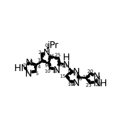 CC(C)n1cc(-c2cn[nH]n2)c2cnc(Nc3ccnc(-c4cn[nH]c4)n3)cc21